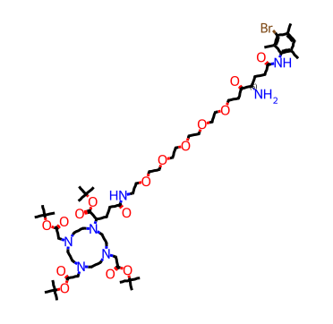 Cc1cc(C)c(NC(=O)CC[C@H](N)C(=O)CCOCCOCCOCCOCCOCCNC(=O)CCC(C(=O)OC(C)(C)C)N2CCN(CC(=O)OC(C)(C)C)CCN(CC(=O)OC(C)(C)C)CCN(CC(=O)OC(C)(C)C)CC2)c(C)c1Br